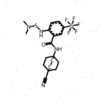 CN(C)SNc1ccc(S(F)(F)(F)(F)F)cc1C(=O)NC12CCC(C#N)(CC1)CC2